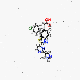 Cc1cc2nc(-c3ccnc(-c4cnn(C)c4C)n3)sc2c(-c2ccc(Cl)cc2)c1CC(=O)O